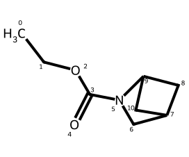 CCOC(=O)N1CC2CC1C2